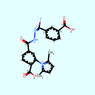 Cc1ccc(C)n1-c1cc(C(=O)N/N=C(/I)c2cccc(C(=O)O)c2)ccc1C(=O)O